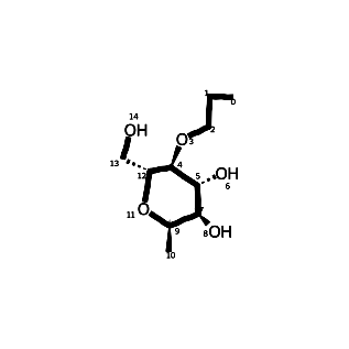 CCCO[C@H]1[C@H](O)[C@@H](O)[C@@H](C)O[C@@H]1CO